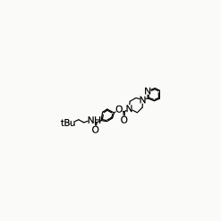 CC(C)(C)CCNC(=O)c1ccc(OC(=O)N2CCN(c3ccccn3)CC2)cc1